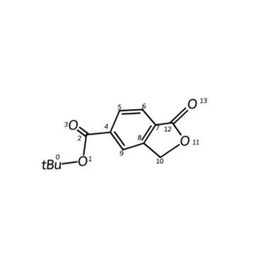 CC(C)(C)OC(=O)c1ccc2c(c1)COC2=O